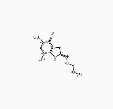 CCOCON=C1Cc2c(n(CC)cc(C(=O)O)c2=O)S1